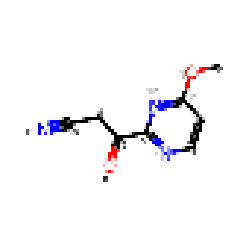 COc1ccnc(C(=O)CC#N)n1